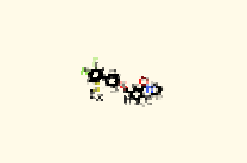 CC(=O)CSc1cc(F)c(F)cc1-c1ccc(OCc2cccc(C(=O)N3CCC[C@H]3C(=O)O)c2)cc1